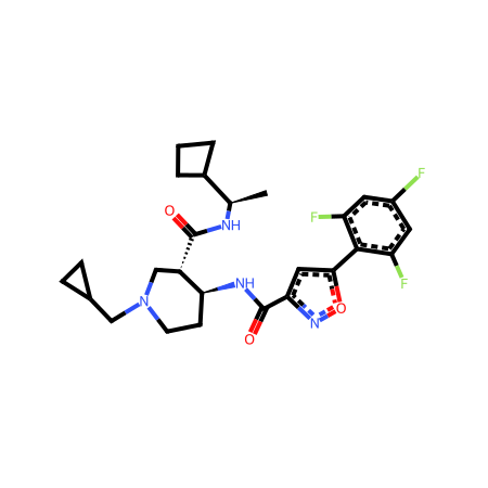 C[C@@H](NC(=O)[C@H]1CN(CC2CC2)CC[C@@H]1NC(=O)c1cc(-c2c(F)cc(F)cc2F)on1)C1CCC1